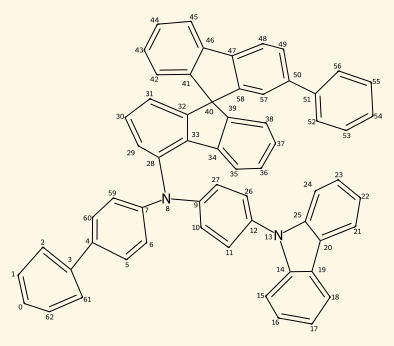 c1ccc(-c2ccc(N(c3ccc(-n4c5ccccc5c5ccccc54)cc3)c3cccc4c3-c3ccccc3C43c4ccccc4-c4ccc(-c5ccccc5)cc43)cc2)cc1